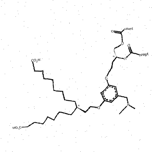 CCCCCCCC(=O)OC[C@@H](CCOc1cc(CN(C)C)cc(OCC[C@H](CCCCCCCCC(=O)O)CCCCCCCC(=O)O)c1)OC(=O)CCCCCCC